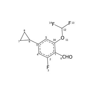 O=Cc1c(F)cc(C2CC2)cc1OC(F)F